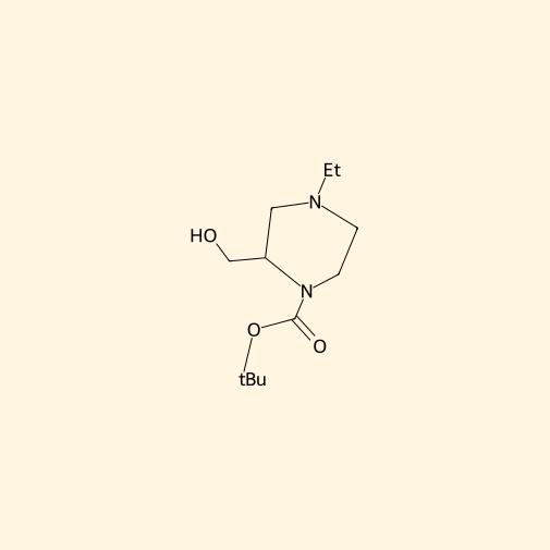 CCN1CCN(C(=O)OC(C)(C)C)C(CO)C1